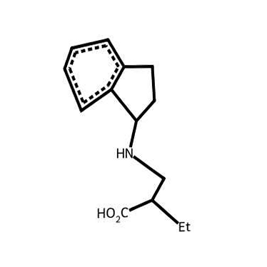 CCC(CNC1CCc2ccccc21)C(=O)O